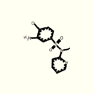 CN(c1ccccn1)S(=O)(=O)c1ccc(Cl)c(N)c1